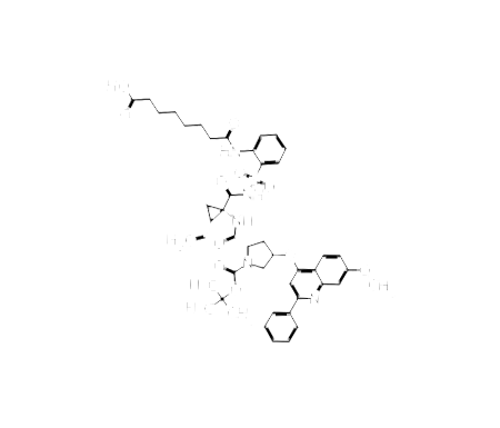 C=C[C@@H]1C[C@]1(NC(=O)[C@@H]1C[C@@H](Oc2cc(-c3ccccc3)nc3cc(OC)ccc23)CN1C(=O)OC(C)(C)C)C(=O)NS(=O)(=O)c1ccccc1NC(=O)CCCCCCC(=O)O